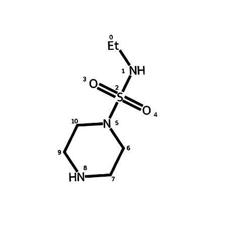 CCNS(=O)(=O)N1CCNCC1